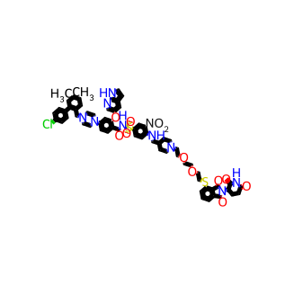 CC1(C)CCC(CN2CCN(c3ccc(C(=O)NS(=O)(=O)c4ccc(NCC5CCN(CCOCCOCCSc6cccc7c6C(=O)N(C6CCC(=O)NC6=O)C7=O)CC5)c([N+](=O)[O-])c4)c(Oc4cnc5[nH]ccc5c4)c3)CC2)=C(c2ccc(Cl)cc2)C1